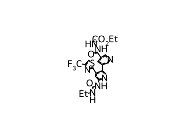 CCNC(=O)Nc1cc(-c2nc(C(F)(F)F)cs2)c(-c2cncc(C(=O)NNC(=O)OCC)c2)cn1